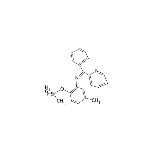 Cc1ccc(O[SiH](C)C)c(N=C(c2ccccc2)c2ccccn2)c1